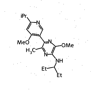 CCC(CC)Nc1nc(C)c(-c2cnc(C(C)C)cc2OC)nc1OC